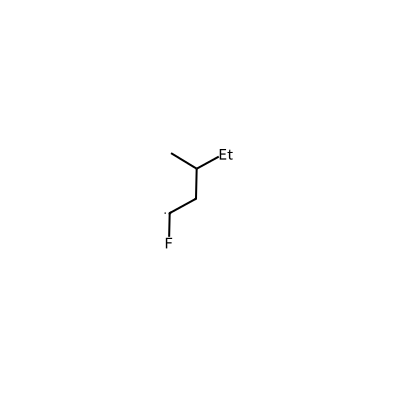 CCC(C)C[CH]F